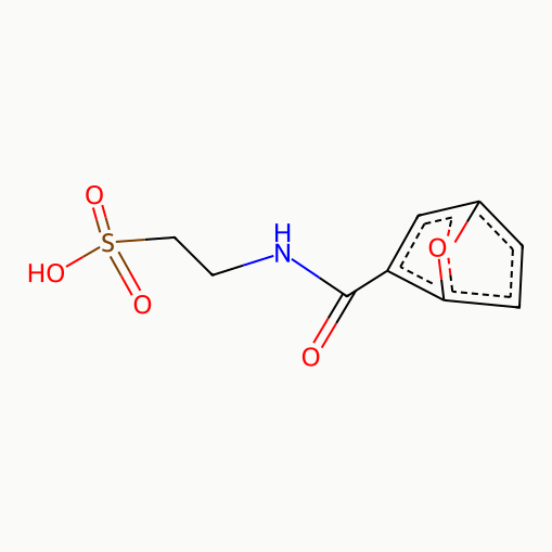 O=C(NCCS(=O)(=O)O)c1cc2ccc1o2